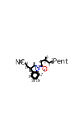 CCCC(C)CC(C)CC(=O)N1CC(CCC#N)c2ccccc21